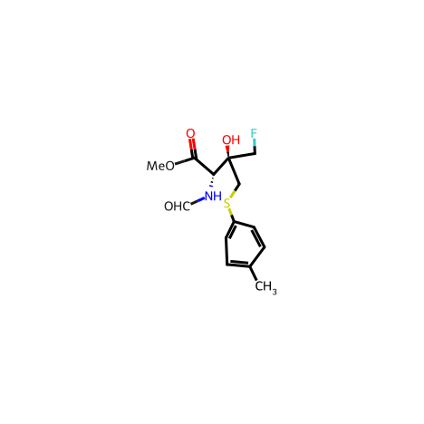 COC(=O)[C@@H](NC=O)[C@](O)(CF)CSc1ccc(C)cc1